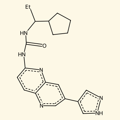 CCC(NC(=O)Nc1ccc2ncc(-c3cn[nH]c3)cc2n1)C1CCCC1